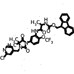 CC(NC(=O)OCC1c2ccccc2-c2ccccc21)C(=O)Nc1cc(N2C(=O)N(Cc3ccnc(Cl)c3)C(C)(C)C2=O)ccc1OC(F)(F)F